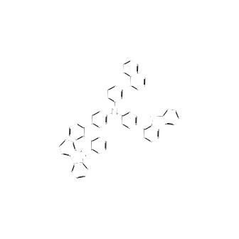 c1cc(-c2cccc3ccccc23)cc(N(c2ccc(-c3ccccc3-c3ccccc3-n3c4ccccc4c4ccccc43)cc2)c2ccc(-c3cccc4c3oc3ccccc34)cc2)c1